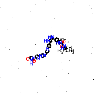 Cc1cc(-c2ncnc3[nH]c(-c4ccc(N5CCC(CN6CCN(c7ccc(N8CCC(=O)NC8=O)cn7)CC6)CC5)cc4)cc23)ccc1C(C)NC(=O)c1nc(C(C)(C)C)no1